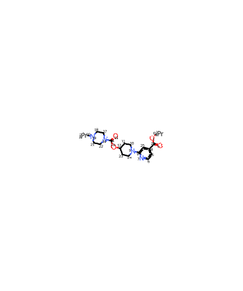 CC(C)OC(=O)c1ccnc(N2CCC(OC(=O)N3CCN(C(C)C)CC3)CC2)c1